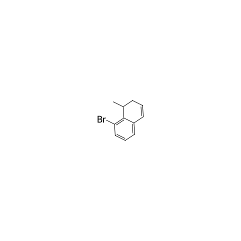 CC1CC=Cc2cccc(Br)c21